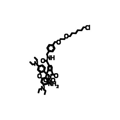 CCN(CC)c1ccc2c(c1)Oc1cc(N(CC)CC)ccc1C21c2cc(C(=O)NCc3ccc(COCCOCCCCCCCl)cc3)ccc2C(=O)N1S(N)(=O)=O